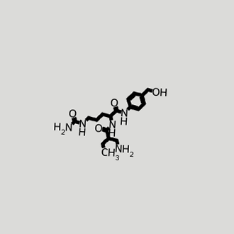 CCC(CN)C(=O)NC(CCCNC(N)=O)C(=O)Nc1ccc(CO)cc1